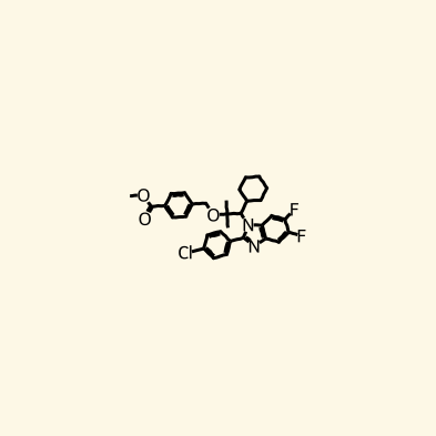 COC(=O)c1ccc(COC(C)(C)C(C2CCCCC2)n2c(-c3ccc(Cl)cc3)nc3cc(F)c(F)cc32)cc1